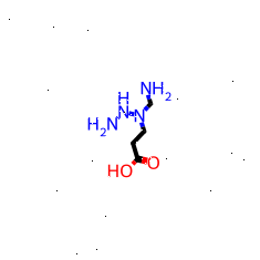 NCN(CCC(=O)O)NN